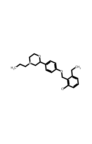 CCCN1CCOC(c2ccc(OCc3c(Cl)cccc3CC)cc2)C1